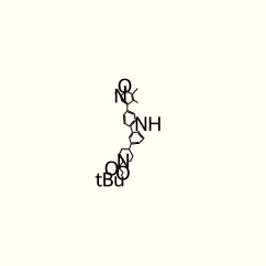 Cc1c(-c2ccc3c(c2)[nH]c2ccc(C4CCN(C(=O)OC(C)(C)C)CC4)cc23)cn(C)c(=O)c1C